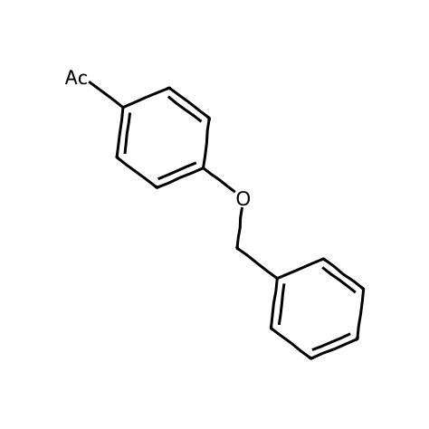 [CH2]C(=O)c1ccc(OCc2ccccc2)cc1